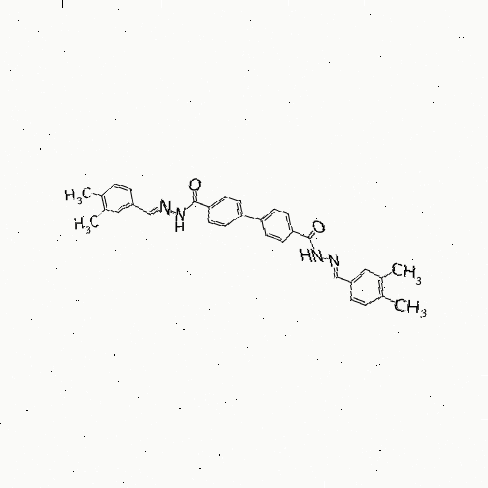 Cc1ccc(/C=N/NC(=O)c2ccc(-c3ccc(C(=O)N/N=C/c4ccc(C)c(C)c4)cc3)cc2)cc1C